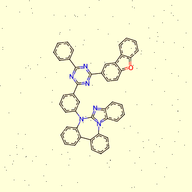 c1ccc(-c2nc(-c3cccc(N4c5ccccc5-c5ccccc5-n5c4nc4ccccc45)c3)nc(-c3ccc4oc5ccccc5c4c3)n2)cc1